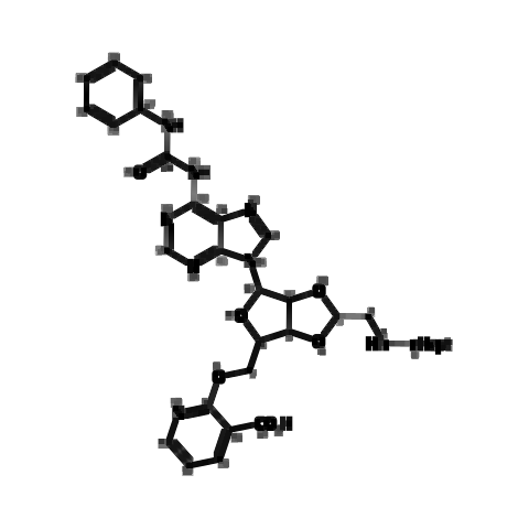 CCCCCC[CH2][InH][CH2]C1OC2C(COc3ncccc3C(=O)O)OC(n3cnc4c(NC(=O)Nc5ccccc5)ncnc43)C2O1